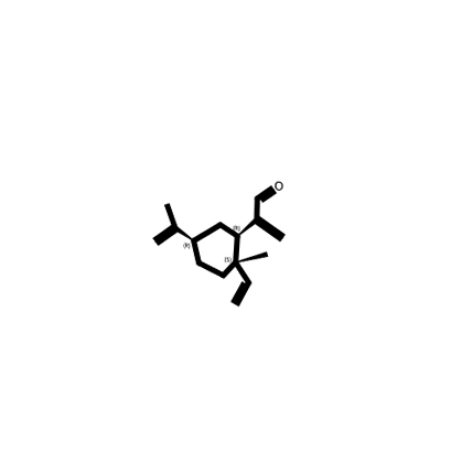 C=C[C@]1(C)CC[C@@H](C(=C)C)C[C@H]1C(=C)C=O